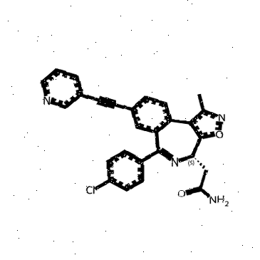 Cc1noc2c1-c1ccc(C#Cc3cccnc3)cc1C(c1ccc(Cl)cc1)=N[C@H]2CC(N)=O